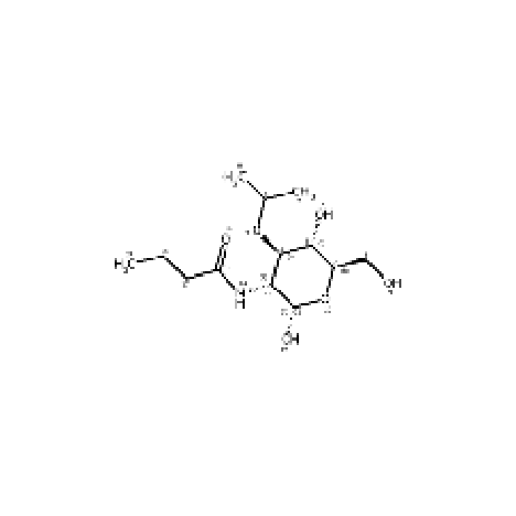 [CH2]C(C)O[C@H]1[C@H](O)[C@@H](CO)O[C@H](O)[C@@H]1NC(=O)CCC